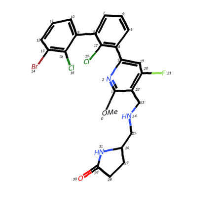 COc1nc(-c2cccc(-c3cccc(Br)c3Cl)c2Cl)cc(F)c1CNCC1CCC(=O)N1